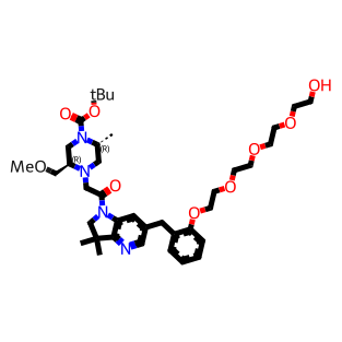 COC[C@H]1CN(C(=O)OC(C)(C)C)[C@H](C)CN1CC(=O)N1CC(C)(C)c2ncc(Cc3ccccc3OCCOCCOCCOCCO)cc21